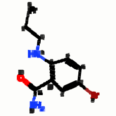 CC(C)CCNc1ccc(Br)cc1C(N)=O